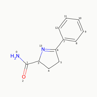 NC(=O)C1CCC(c2ccccc2)=N1